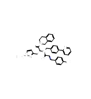 Cn1ccc(C[C@@H](C(=O)N2CCc3ccccc3C2)N(Cc2ccc(-c3ccccn3)cc2)C(=O)/C=C/c2ccc(C(F)(F)F)cc2)n1